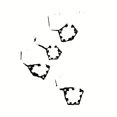 O.O=C([O-])Oc1ccco1.O=C([O-])Oc1ccco1.O=C([O-])Oc1ccco1.O=C([O-])Oc1ccco1.[Ca+2].[Mg+2]